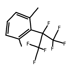 Cc1cccc(C)c1C(F)(C(F)(F)F)C(F)(F)F